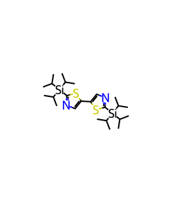 CC(C)[Si](c1ncc(-c2cnc([Si](C(C)C)(C(C)C)C(C)C)s2)s1)(C(C)C)C(C)C